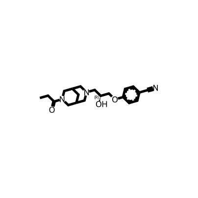 CCC(=O)N1CC2CC(CN(C[C@@H](O)COc3ccc(C#N)cc3)C2)C1